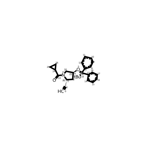 C#C[C@H]1C[C@H](O[Si](c2ccccc2)(c2ccccc2)C(C)(C)C)CN1C(=O)C1CC1